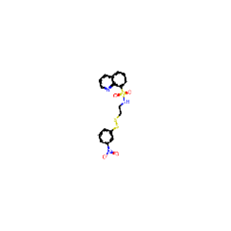 O=[N+]([O-])c1cccc(SSCCNS(=O)(=O)c2cccc3cccnc23)c1